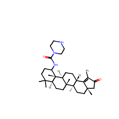 CC(C)C1=C2[C@H]3CC[C@@H]4[C@@]5(C)C(NC(=O)N6CCNCC6)CCC(C)(C)[C@@H]5CC[C@@]4(C)[C@]3(C)CC[C@@]2(C)CC1=O